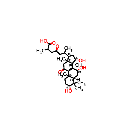 CC(CC(=O)CC(C)[C@H]1C[C@H](O)[C@@]2(C)C3=C(C(=O)C[C@]12C)[C@@]1(C)CC[C@H](O)C(C)(C)[C@@H]1C[C@@H]3O)C(=O)O